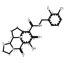 O=C(NCc1cccc(Cl)c1F)c1c2n3c(c(O)c1=O)C(=O)N1CCOC1C3CC2